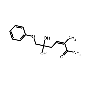 CC(=CCC(O)(O)COc1ccccc1)C(N)=O